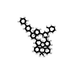 CC1C=CC=CC1c1cc(-c2ccccc2)nc(-c2cccc3c2C2C=C(c4ccc(-c5ccc(-c6ccccc6)cc5)cc4)C=CC2C32c3ccccc3C(C)(C)C3C=CC=CC32)n1